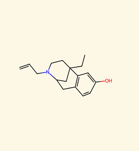 C=CCN1CCC2(CC)CC1Cc1ccc(O)cc12